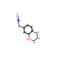 N#CCc1ccc2c(c1)OCCC2